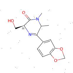 CC1C(c2ccc3c(c2)OCO3)=N[C@@H](CO)C(=O)N1C